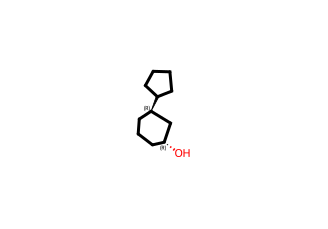 O[C@@H]1CCC[C@@H](C2CCCC2)C1